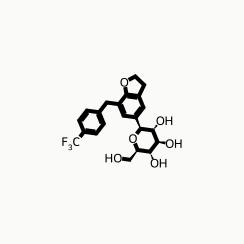 OC[C@H]1O[C@@H](c2cc3c(c(Cc4ccc(C(F)(F)F)cc4)c2)OCC3)[C@H](O)[C@@H](O)[C@@H]1O